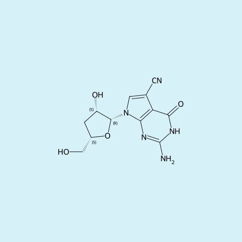 N#Cc1cn([C@@H]2O[C@H](CO)C[C@@H]2O)c2nc(N)[nH]c(=O)c12